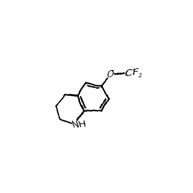 FC(F)(F)Oc1ccc2c(c1)CCCN2